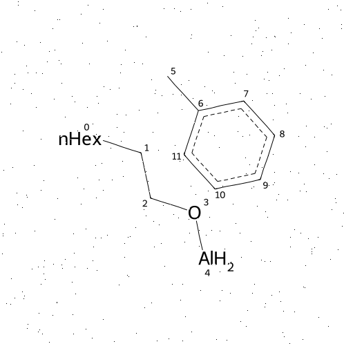 CCCCCCCC[O][AlH2].Cc1ccccc1